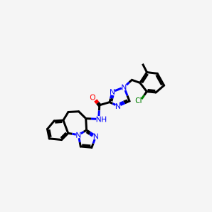 Cc1cccc(Cl)c1Cn1cnc(C(=O)NC2CCc3ccccc3-n3ccnc32)n1